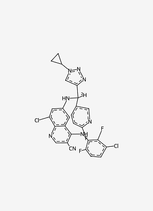 [2H]C(Nc1cc(Cl)c2ncc(C#N)c(Nc3c(F)ccc(Cl)c3F)c2c1)(c1ccc(F)nc1)c1cn(C2CC2)nn1